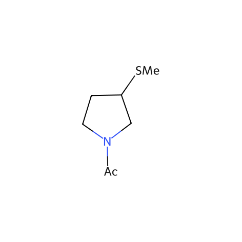 CSC1CCN(C(C)=O)C1